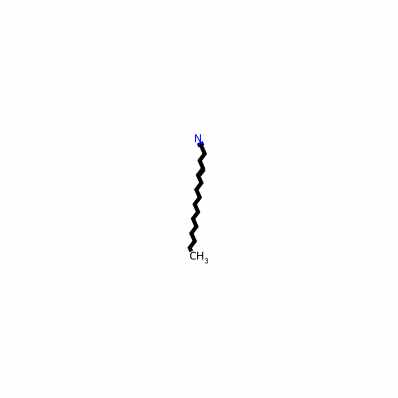 CCCCCCCCCCCC=CCCC#N